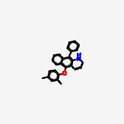 Cc1ccc(Oc2c3c(c(-c4ccccc4)c4ccccc24)NCC=C3)c(C)c1